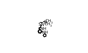 CN(C)C[C@@H]1CSC(c2cc3cccc(NC4CCCC4)c3[nH]2)=N1